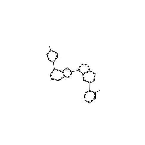 Cc1ccncc1-c1ccc2[nH]nc(-c3cc4c(-c5ccc(F)cc5)cccc4[nH]3)c2c1